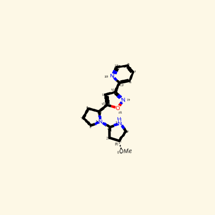 CO[C@H]1CNC(N2CCCC2c2cc(-c3ccccn3)no2)C1